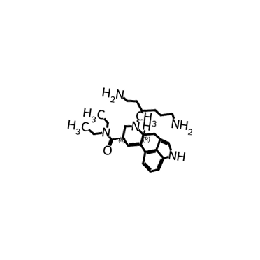 CCN(CC)C(=O)[C@@H]1C=C2c3cccc4[nH]cc(c34)C[C@H]2N(C)C1.NCCCCCCN